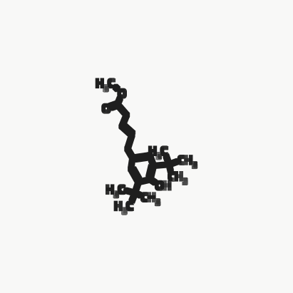 COC(=O)CC=CCc1cc(C(C)(C)C)c(O)c(C(C)(C)C)c1